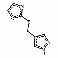 c1coc(SCc2cn[nH]c2)n1